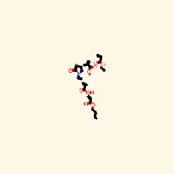 C=C(C)C(=O)OC.C=CC(=O)O.C=CC(=O)OCC.C=CC(=O)OCCCC.C=CN1CCCC1=O